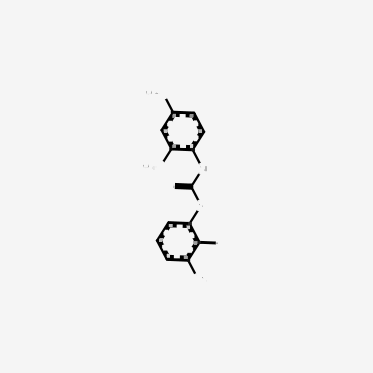 COc1ccc(NC(=O)Nc2cccc(C#N)c2O)c(OC)c1